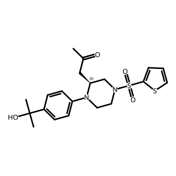 CC(=O)C[C@H]1CN(S(=O)(=O)c2cccs2)CCN1c1ccc(C(C)(C)O)cc1